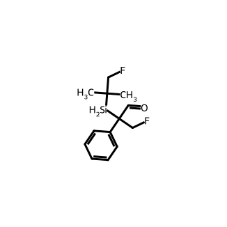 CC(C)(CF)[SiH2]C(C=O)(CF)c1ccccc1